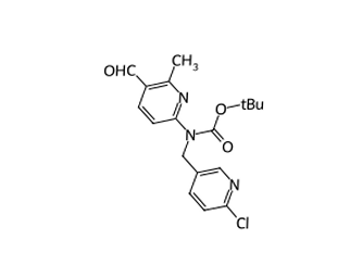 Cc1nc(N(Cc2ccc(Cl)nc2)C(=O)OC(C)(C)C)ccc1C=O